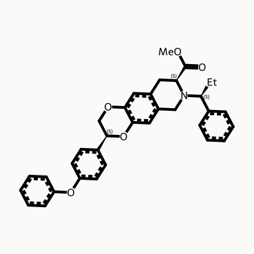 CC[C@@H](c1ccccc1)N1Cc2cc3c(cc2C[C@H]1C(=O)OC)OC[C@H](c1ccc(Oc2ccccc2)cc1)O3